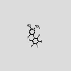 O=[N+]([O-])c1cc(-c2c(F)c(F)c(F)c(I)c2F)c(F)cc1O